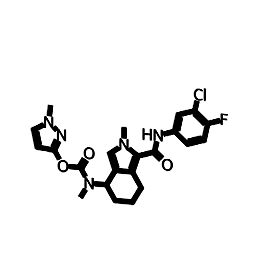 CN(C(=O)Oc1ccn(C)n1)C1CCCc2c1cn(C)c2C(=O)Nc1ccc(F)c(Cl)c1